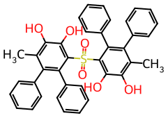 Cc1c(O)c(O)c(S(=O)(=O)c2c(O)c(O)c(C)c(-c3ccccc3)c2-c2ccccc2)c(-c2ccccc2)c1-c1ccccc1